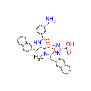 CN(C(=O)[C@@H](Cc1ccc2ccccc2c1)NC(=O)c1cccc(CN)c1)[C@H](Cc1ccc2ccccc2c1)c1nc(C(=O)O)no1